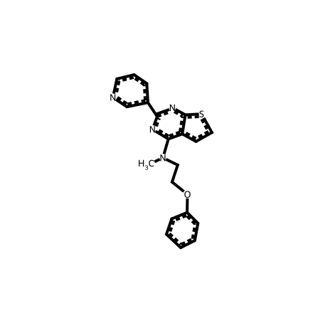 CN(CCOc1ccccc1)c1nc(-c2cccnc2)nc2sccc12